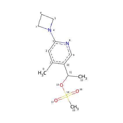 Cc1cc(N2CCC2)ncc1C(C)OS(C)(=O)=O